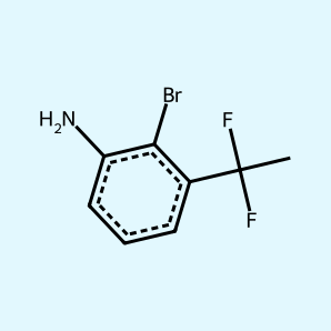 CC(F)(F)c1cccc(N)c1Br